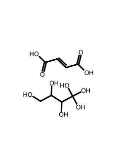 O=C(O)/C=C/C(=O)O.OCC(O)C(O)C(O)(O)O